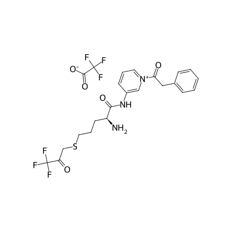 N[C@@H](CCCSCC(=O)C(F)(F)F)C(=O)Nc1ccc[n+](C(=O)Cc2ccccc2)c1.O=C([O-])C(F)(F)F